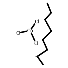 C[CH]CCCCCC.[Cl][Co]([Cl])[Cl]